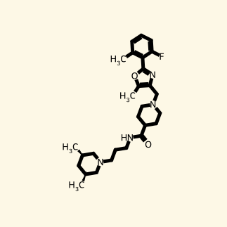 Cc1cccc(F)c1-c1nc(CN2CCC(C(=O)NCCCN3C[C@H](C)C[C@H](C)C3)CC2)c(C)o1